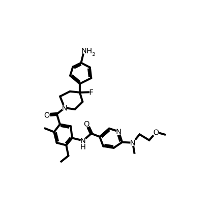 CCc1cc(C)c(C(=O)N2CCC(F)(c3ccc(N)cc3)CC2)cc1NC(=O)c1ccc(N(C)CCOC)nc1